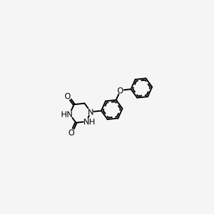 O=C1CN(c2cccc(Oc3ccccc3)c2)NC(=O)N1